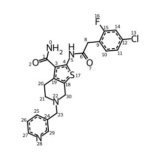 NC(=O)c1c(NC(=O)Cc2ccc(Cl)cc2F)sc2c1CCN(Cc1cccnc1)C2